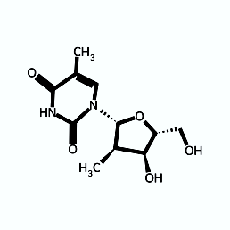 Cc1cn([C@@H]2O[C@H](CO)[C@@H](O)[C@H]2C)c(=O)[nH]c1=O